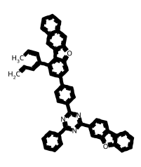 C=C/C=C(\C=C/C)c1cc(-c2ccc(-c3nc(-c4ccccc4)nc(-c4ccc5c(c4)oc4ccccc45)n3)cc2)cc2oc3cc4ccccc4cc3c12